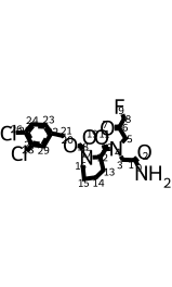 NC(=O)CN(CC(=O)CF)C(=O)C1CCCCN1C(=O)OCc1ccc(Cl)c(Cl)c1